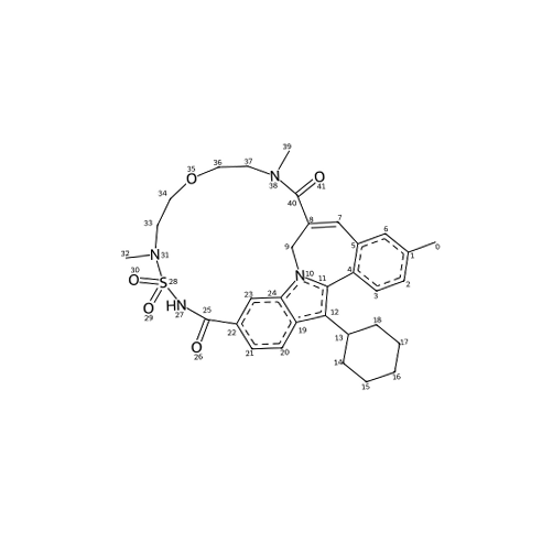 Cc1ccc2c(c1)C=C1Cn3c-2c(C2CCCCC2)c2ccc(cc23)C(=O)NS(=O)(=O)N(C)CCOCCN(C)C1=O